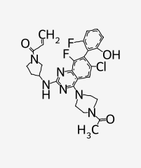 C=CC(=O)N1CCC(Nc2nc(N3CCN(C(C)=O)CC3)c3cc(Cl)c(-c4c(O)cccc4F)c(F)c3n2)C1